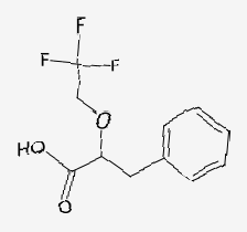 O=C(O)C(Cc1ccccc1)OCC(F)(F)F